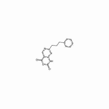 O=c1[nH]c2nc(CCCc3ccccc3)ncc2c(=O)o1